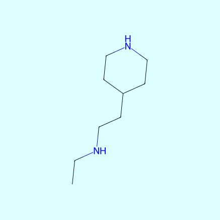 CCNCCC1CCNCC1